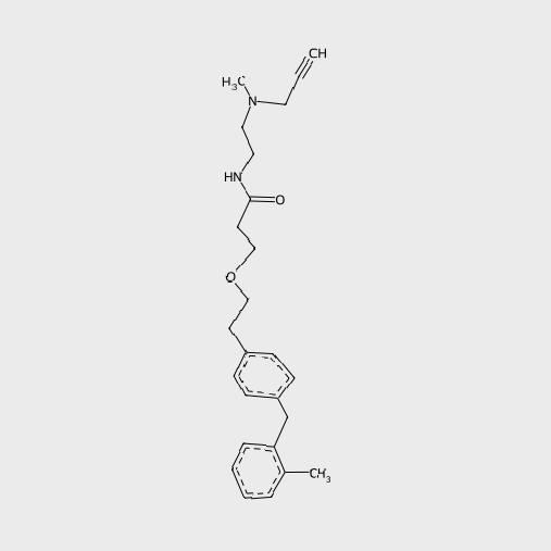 C#CCN(C)CCNC(=O)CCOCCc1ccc(Cc2ccccc2C)cc1